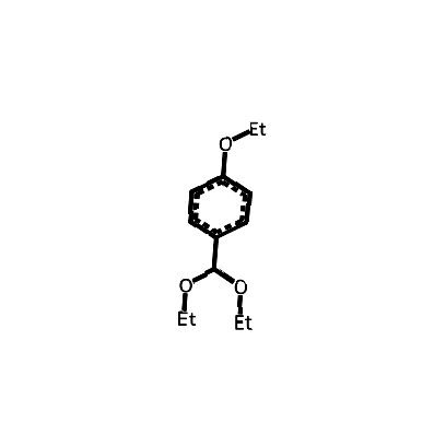 CCOc1ccc(C(OCC)OCC)cc1